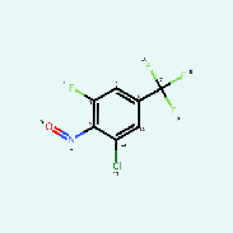 O=Nc1c(F)cc(C(F)(F)F)cc1Cl